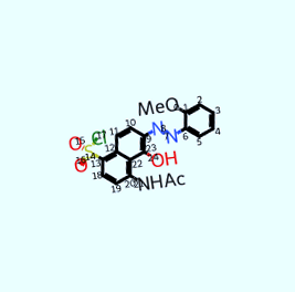 COc1ccccc1N=Nc1ccc2c(S(=O)(=O)Cl)ccc(NC(C)=O)c2c1O